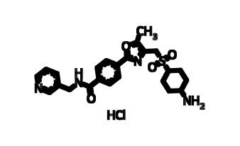 Cc1oc(-c2ccc(C(=O)NCc3cccnc3)cc2)nc1CS(=O)(=O)C1CCC(N)CC1.Cl